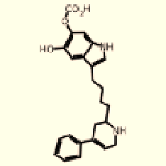 O=C(O)Oc1cc2[nH]cc(CCCCC3CC(c4ccccc4)=CCN3)c2cc1O